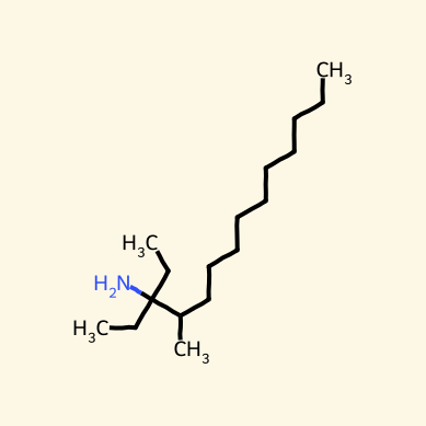 CCCCCCCCCCC(C)C(N)(CC)CC